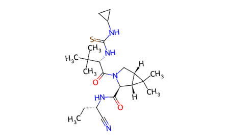 CC[C@@H](C#N)NC(=O)[C@@H]1[C@@H]2[C@H](CN1C(=O)[C@@H](NC(=S)NC1CC1)C(C)(C)C)C2(C)C